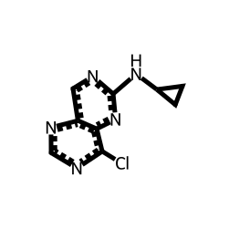 Clc1ncnc2cnc(NC3CC3)nc12